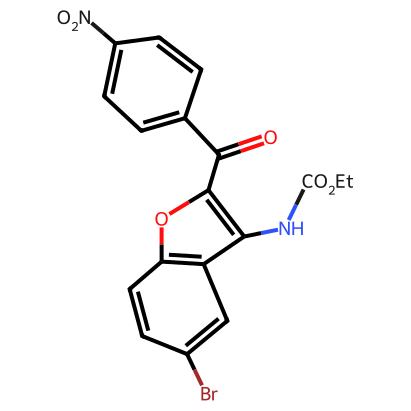 CCOC(=O)Nc1c(C(=O)c2ccc([N+](=O)[O-])cc2)oc2ccc(Br)cc12